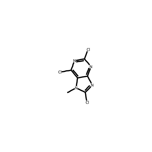 Cn1c(Cl)nc2nc(Cl)nc(Cl)c21